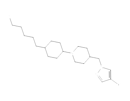 CC(=O)CCCCCC1CCC(N2CCC(Cn3cc(C(C)C)cn3)CC2)CC1